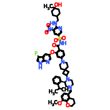 COc1ccc(CN2CCN(C3CC4(CCN(c5ccc(C(=O)NS(=O)(=O)c6cnc(NCC7CCC(C)(O)CC7)c([N+](=O)[O-])c6)c(Oc6cnc7[nH]cc(F)c7c6)c5)CC4)C3)[C@H](c3ccccc3C(C)C)C2)c2c1OCCC2